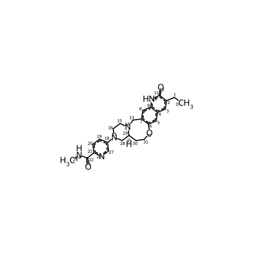 CCc1cc2cc3c(cc2[nH]c1=O)CN1CCN(c2ccc(C(=O)NC)nc2)C[C@@H]1CCO3